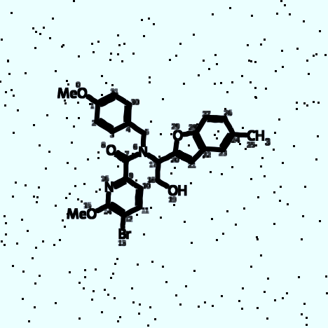 COc1ccc(CN(C(=O)c2ccc(Br)c(OC)n2)C(CO)c2cc3cc(C)ccc3o2)cc1